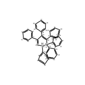 c1ccc(C2=N[SiH](c3ccccc3)[Si](c3ccccc3)(c3ccccc3)C(c3ccccc3)=C2c2ccccc2)cc1